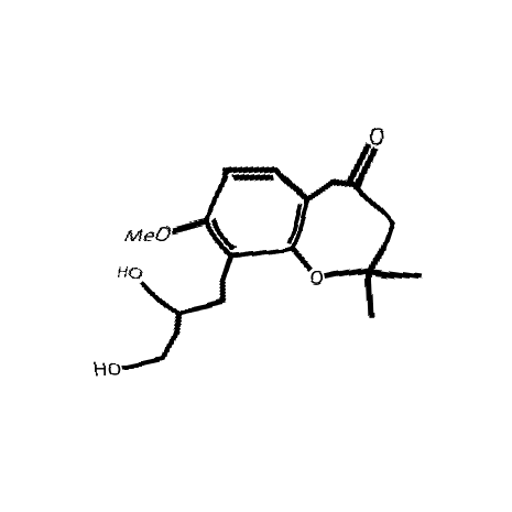 COc1ccc2c(c1CC(O)CO)OC(C)(C)CC2=O